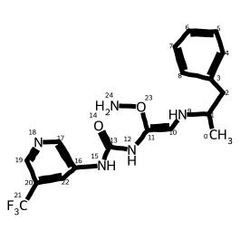 CC(Cc1ccccc1)N/C=C(/NC(=O)Nc1cncc(C(F)(F)F)c1)ON